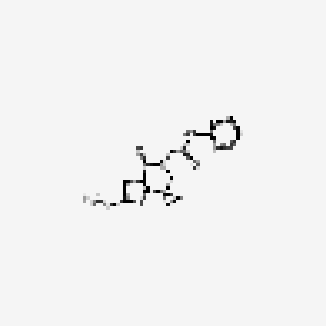 CCc1cc2c(o1)C1(CC1)CN(CC(=O)Nc1ncccn1)C2=O